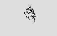 CN(Cc1ccccc1N1CCN(C(=O)[C@@H](Cc2ccc(Cl)cc2)NC(=O)[C@H]2Cc3ccccc3CN2)CC1)[C@H]1CCNC1